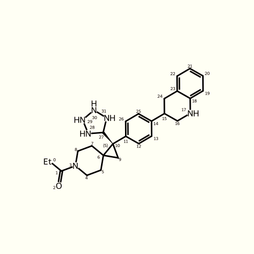 CCC(=O)N1CCC2(CC1)C[C@]2(c1ccc(C2CNc3ccccc3C2)cc1)C1NNNN1